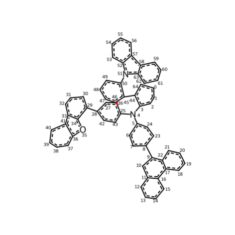 c1ccc(N(c2ccc(-c3cc4ccccc4c4ccccc34)cc2)c2ccc(-c3cccc4c3oc3ccccc34)cc2)c(-c2ccccc2-n2c3ccccc3c3ccccc32)c1